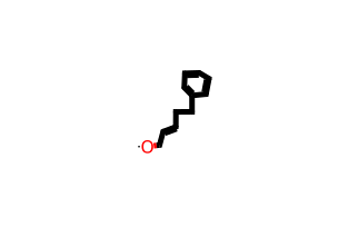 [O]CC=CCCc1ccccc1